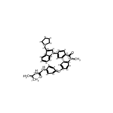 CC(C)NC(=O)Nc1ccc(Oc2ccc(N(C)C(=O)c3ccc(-n4cc(CN5CCCC5)c5ccccc54)cc3)cc2)cc1